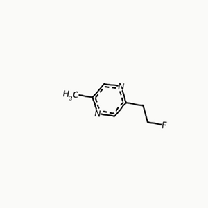 Cc1cnc(CCF)cn1